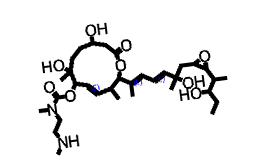 CCC(O)C(C)C1OC1CC(C)(O)/C=C/C=C(\C)C1OC(=O)CC(O)CCC(C)(O)C(OC(=O)N(C)CCNC)/C=C/C1C